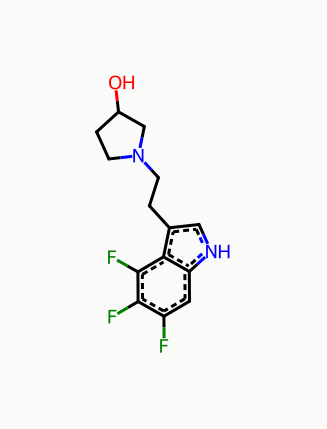 OC1CCN(CCc2c[nH]c3cc(F)c(F)c(F)c23)C1